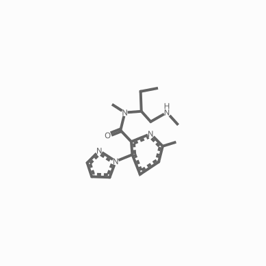 CCC(CNC)N(C)C(=O)c1nc(C)ccc1-n1cccn1